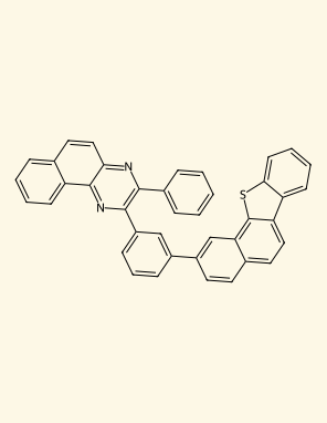 c1ccc(-c2nc3ccc4ccccc4c3nc2-c2cccc(-c3ccc4ccc5c6ccccc6sc5c4c3)c2)cc1